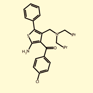 CC(C)CN(Cc1c(-c2ccccc2)sc(N)c1C(=O)c1ccc(Cl)cc1)CC(C)C